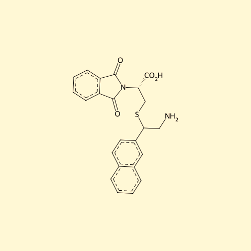 NCC(SC[C@@H](C(=O)O)N1C(=O)c2ccccc2C1=O)c1ccc2ccccc2c1